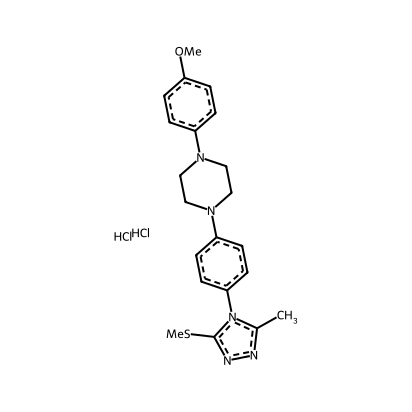 COc1ccc(N2CCN(c3ccc(-n4c(C)nnc4SC)cc3)CC2)cc1.Cl.Cl